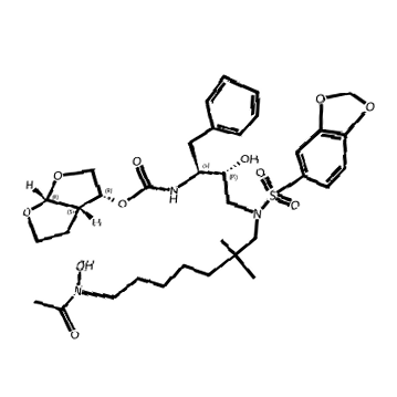 CC(=O)N(O)CCCCCC(C)(C)CN(C[C@@H](O)[C@H](Cc1ccccc1)NC(=O)O[C@H]1CO[C@H]2OCC[C@H]21)S(=O)(=O)c1ccc2c(c1)OCO2